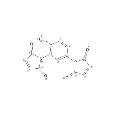 Cc1ccc(C2C(=O)C=CC2=O)cc1N1C(=O)C=CC1=O